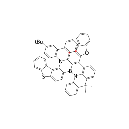 CC(C)(C)c1ccc(N2c3cc4c(oc5ccccc54)c4c3B(c3ccc5sc6ccccc6c5c32)N2c3ccccc3C(C)(C)c3cccc-4c32)c(-c2ccccc2)c1